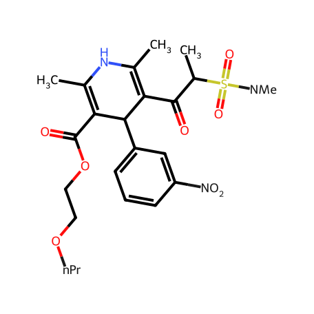 CCCOCCOC(=O)C1=C(C)NC(C)=C(C(=O)C(C)S(=O)(=O)NC)C1c1cccc([N+](=O)[O-])c1